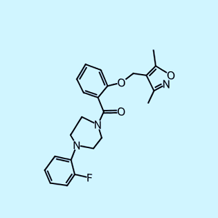 Cc1noc(C)c1COc1ccccc1C(=O)N1CCN(c2ccccc2F)CC1